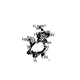 CNC(=O)[C@H](CCCNC(=N)N)NC(=O)[C@@H]1C[C@@H](O)CN1C(=O)[C@@H]1C[C@@H](O)CN1C(=O)[C@@H]1CCCNC(=O)CC[C@H](NC(C)=O)C(=O)N[C@@H](Cc2c[nH]cn2)C(=O)N[C@H](Cc2ccccc2)C(=O)N[C@@H](CCCNC(=N)N)C(=O)N[C@@H](Cc2c[nH]c3ccccc23)C(=O)N1